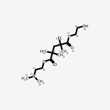 CCC(C)(CC(C)(C)C(=O)OCCN(C)C)C(=O)OCCO